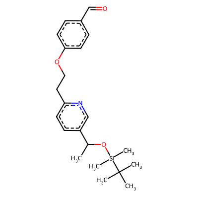 CC(O[Si](C)(C)C(C)(C)C)c1ccc(CCOc2ccc(C=O)cc2)nc1